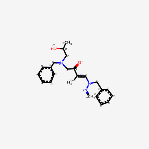 C=NN(/C=C(\C)C(=O)CN(Cc1ccccc1)CC(C)O)Cc1ccccc1